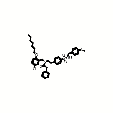 CCCCCCCOc1ccc(Cl)cc1CN(CCc1ccc(S(=O)(=O)NCc2ccc(OC)cc2)cc1)C(=O)Cc1ccccc1